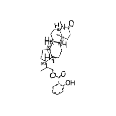 CC(COC(=O)c1ccccc1O)[C@H]1CC[C@H]2[C@@H]3CC[C@H]4N(C)C(=O)CC[C@]4(C)[C@H]3CC[C@]12C